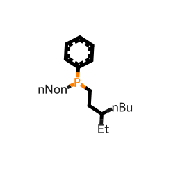 CCCCCCCCCP(CCC(CC)CCCC)c1ccccc1